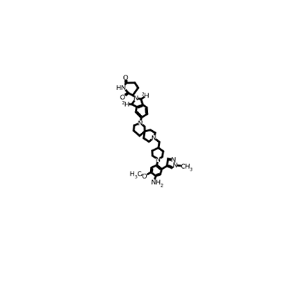 [2H]C1c2ccc(N3CCCC4(CCN(CC5CCN(c6cc(OC)c(N)cc6-c6cnn(C)c6)CC5)CC4)C3)cc2C([2H])N1C1CCC(=O)NC1=O